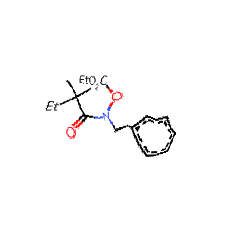 CCOC(=O)ON(Cc1ccccc1)C(=O)C(C)(C)CC